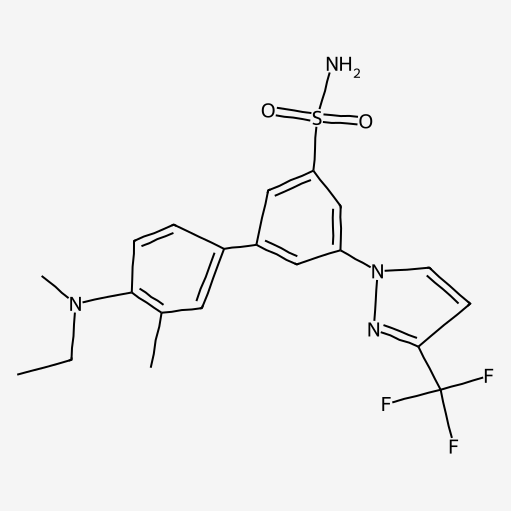 CCN(C)c1ccc(-c2cc(-n3ccc(C(F)(F)F)n3)cc(S(N)(=O)=O)c2)cc1C